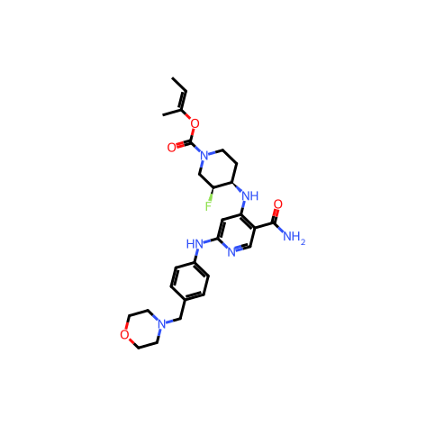 C/C=C(\C)OC(=O)N1CC[C@@H](Nc2cc(Nc3ccc(CN4CCOCC4)cc3)ncc2C(N)=O)[C@@H](F)C1